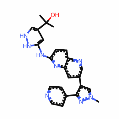 Cn1cc(-c2cnc3ccc(NC4=CC(C(C)(C)O)=CNN4)nc3c2)c(-c2ccncc2)n1